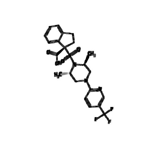 C[C@H]1CN(c2ccc(C(F)(F)F)cn2)C[C@H](C)N1S(=O)(=O)[C@@]1(C(=O)O)CCc2ccccc21